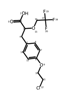 O=C(O)C(Cc1ccc(OCCCl)cc1)OCC(F)(F)F